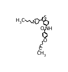 CCCCCCOc1ccc(C(=O)Nc2ccc3scc(C4CCN(CCCCC)CC4)c3c2)cc1